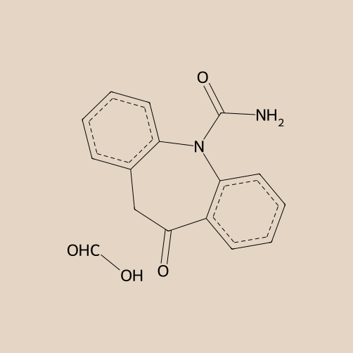 NC(=O)N1c2ccccc2CC(=O)c2ccccc21.O=CO